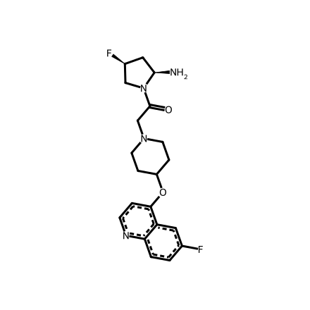 N[C@@H]1C[C@H](F)CN1C(=O)CN1CCC(Oc2ccnc3ccc(F)cc23)CC1